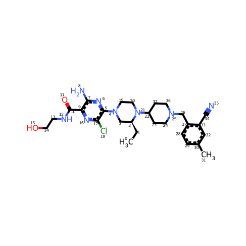 CC[C@H]1CN(c2nc(N)c(C(=O)NCCO)nc2Cl)CCN1C1CCN(Cc2ccc(C)cc2C#N)CC1